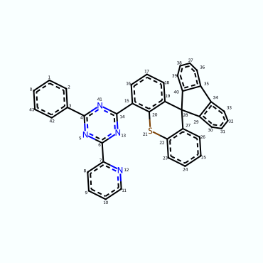 c1ccc(-c2nc(-c3ccccn3)nc(-c3cccc4c3Sc3ccccc3C43c4ccccc4-c4ccccc43)n2)cc1